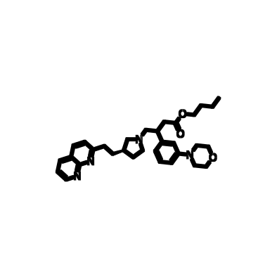 CCCCOC(=O)CC(CN1CC[C@@H](CCc2ccc3cccnc3n2)C1)c1cccc(N2CCOCC2)c1